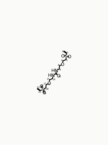 C=CS(=O)(=O)CCOCCNC(=O)NCCOCCS(=O)(=O)C=C